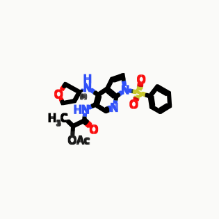 CC(=O)OC(C)C(=O)Nc1cnc2c(ccn2S(=O)(=O)c2ccccc2)c1N[C@@H]1CCOC1